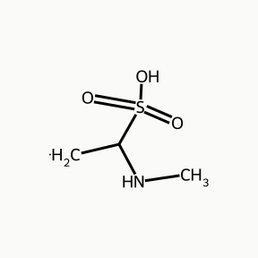 [CH2]C(NC)S(=O)(=O)O